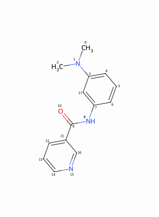 CN(C)c1cccc(NC(=O)c2cccnc2)c1